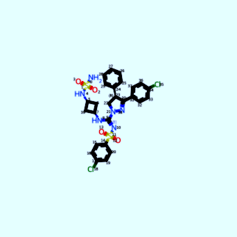 NS(=O)(=O)N[C@H]1C[C@@H](N/C(=N\S(=O)(=O)c2ccc(Cl)cc2)N2C[C@@H](c3ccccc3)C(c3ccc(Cl)cc3)=N2)C1